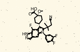 CO[C@]1(C(=O)O)CC[C@H](c2c(C(C)(C)CC#N)n(-c3ccc(F)c(F)c3)c3cc4cn[nH]c4c(F)c32)CC1